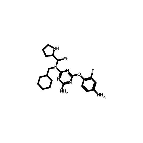 CCC(C1CCCN1)N(CC1CCCCC1)c1nc(N)nc(Oc2ccc(N)cc2F)n1